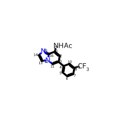 CC(=O)Nc1cc(-c2cccc(C(F)(F)F)c2)cn2ccnc12